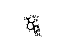 COC(=O)C1CCCc2c(cnn2C)C1=O